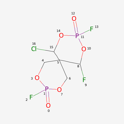 O=P1(F)OCC2(CO1)C(F)OP(=O)(F)OC2Cl